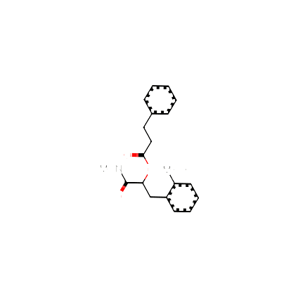 CNC(=O)C(Cc1ccccc1OC)OC(=O)CCc1ccccc1